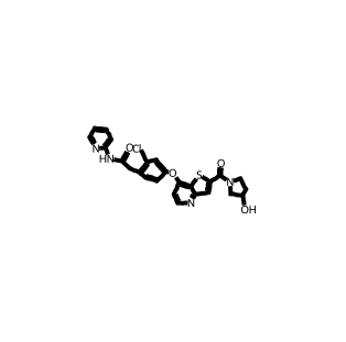 O=C(Cc1ccc(Oc2ccnc3cc(C(=O)N4CCC(O)C4)sc23)cc1Cl)Nc1ccccn1